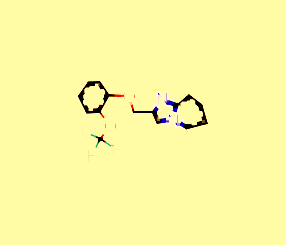 FC(F)(F)Oc1[c]cccc1OCc1cn2ccccc2n1